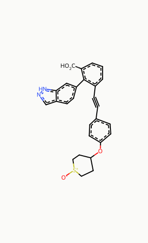 O=C(O)c1cccc(C#Cc2ccc(OC3CC[S+]([O-])CC3)cc2)c1-c1ccc2cn[nH]c2c1